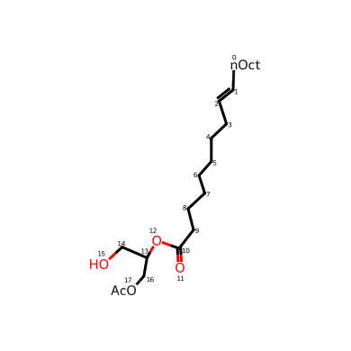 CCCCCCCCC=CCCCCCCCC(=O)OC(CO)COC(C)=O